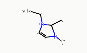 CCCCCCCN1C=CN(C(C)C)C1C